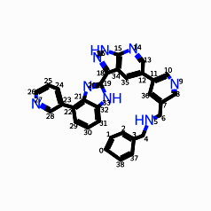 c1ccc(CNCc2cncc(-c3cnc4[nH]nc(-c5nc6c(-c7cccnc7)cccc6[nH]5)c4c3)c2)cc1